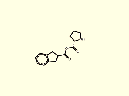 O=C(OC(=O)[C@@H]1CCCN1)C1Cc2ccccc2C1